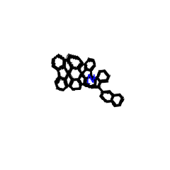 C1=CCC2C=C(c3cc(-c4cccc5c4C4(c6ccccc6-c6ccccc64)c4ccccc4C54c5ccccc5C5C=CC=CC54)nc4ccccc34)C=CC2=C1